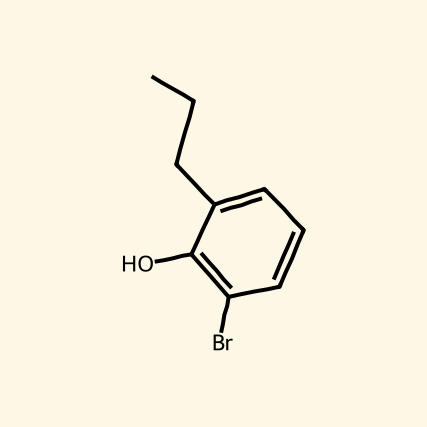 CCCc1cccc(Br)c1O